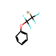 FC(F)(Br)C(F)(F)Oc1ccccc1